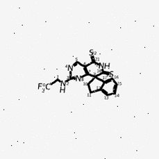 FC(F)(F)CNc1ncc2c(n1)C1(CCc3ccccc31)C(=S)NC2=S